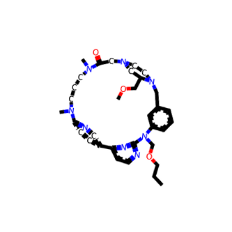 CCCOCN1c2cccc(c2)CN2CCN(CC(=O)N(C)CCCN(C)c3ccc(cn3)-c3ccnc1n3)CC2COC